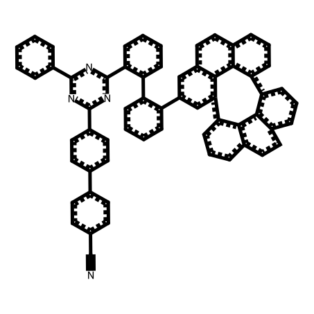 N#Cc1ccc(-c2ccc(-c3nc(-c4ccccc4)nc(-c4ccccc4-c4ccccc4-c4cc5ccc6cccc7c8cccc9ccc%10cccc(c(c4)c5c67)c%10c98)n3)cc2)cc1